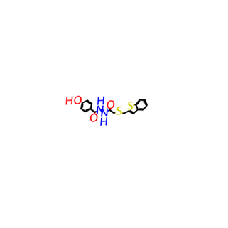 O=C(CSCc1cc2ccccc2s1)NNC(=O)c1ccc(O)cc1